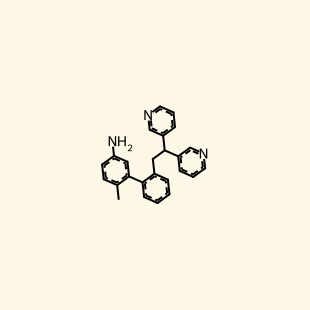 Cc1ccc(N)cc1-c1ccccc1CC(c1cccnc1)c1cccnc1